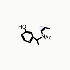 C/C=C\N(C(C)=O)C(C)c1cccc(O)c1